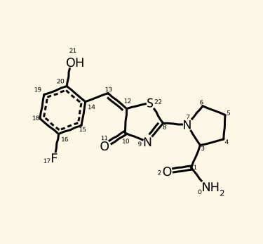 NC(=O)C1CCCN1C1=NC(=O)C(=Cc2cc(F)ccc2O)S1